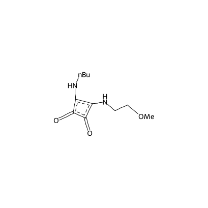 CCCCNc1c(NCCOC)c(=O)c1=O